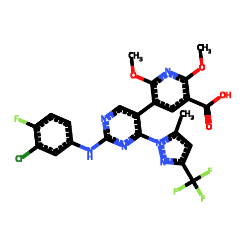 COc1nc(OC)c(-c2cnc(Nc3ccc(F)c(Cl)c3)nc2-n2nc(C(F)(F)F)cc2C)cc1C(=O)O